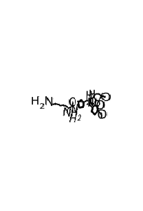 COc1ccc2c3c1OC1C(=O)CC[C@H]4[C@@H](C2)[N+](C)(Cc2ccc(NC(=O)[C@@H](N)CCCCN)cc2)CC[C@]314